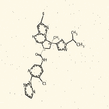 CC(C)n1cc([C@@]2(C)C[C@H](C(=O)Nc3cnc(-n4nccn4)c(Cl)c3)c3cnc4cc(F)nn4c32)cn1